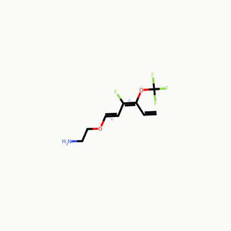 C=C/C(OC(F)(F)F)=C(F)\C=C\OCCN